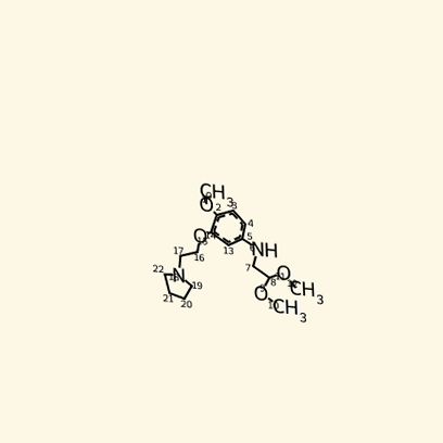 COc1ccc(NCC(OC)OC)cc1OCCN1CCCC1